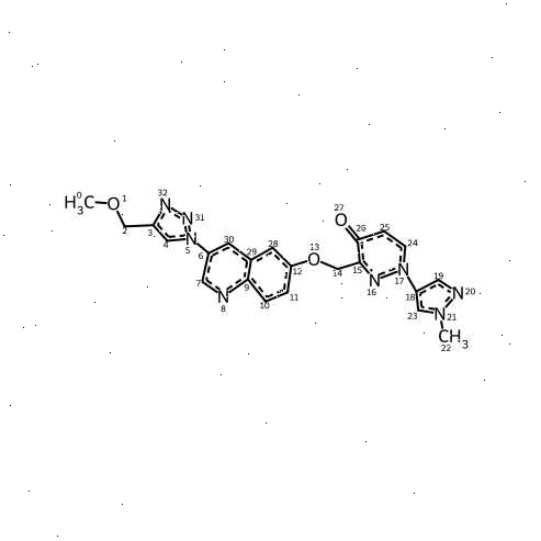 COCc1cn(-c2cnc3ccc(OCc4nn(-c5cnn(C)c5)ccc4=O)cc3c2)nn1